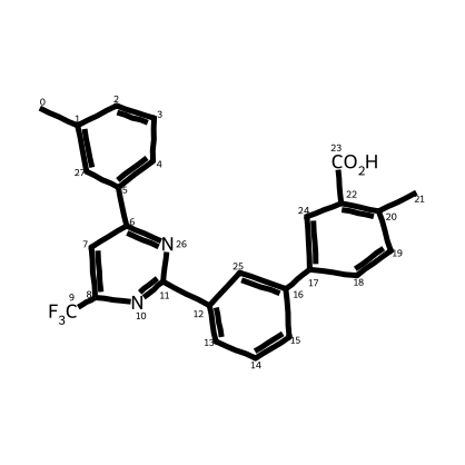 Cc1cccc(-c2cc(C(F)(F)F)nc(-c3cccc(-c4ccc(C)c(C(=O)O)c4)c3)n2)c1